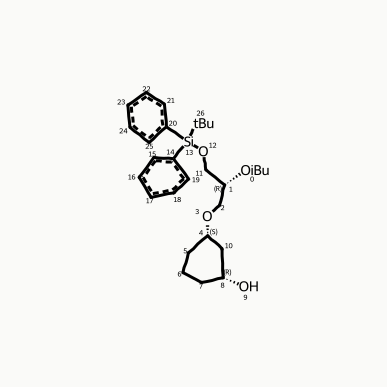 CC(C)CO[C@H](CO[C@H]1CCC[C@@H](O)C1)CO[Si](c1ccccc1)(c1ccccc1)C(C)(C)C